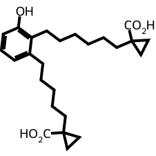 O=C(O)C1(CCCCCCc2c(O)cccc2CCCCCC2(C(=O)O)CC2)CC1